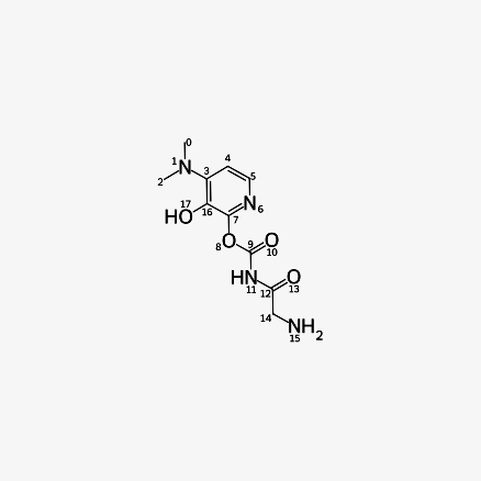 CN(C)c1ccnc(OC(=O)NC(=O)CN)c1O